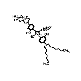 CCCCCCCN(CCCCCCC)c1ccc([C+]2C(O)=C(c3ccc(N(CC)CCCS(=O)(=O)O)cc3O)C2O)c(O)c1.O.[OH-]